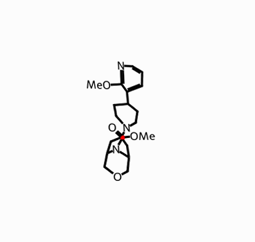 COC(=O)N1C2COCC1CC(N1CCC(c3cccnc3OC)CC1)C2